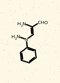 N/C(C=O)=C\N(N)c1ccccc1